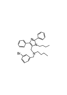 CCCCN(Cc1cccc(Br)c1)Cc1c(-c2ccccc2)nc(-c2ccccc2)n1CCCC